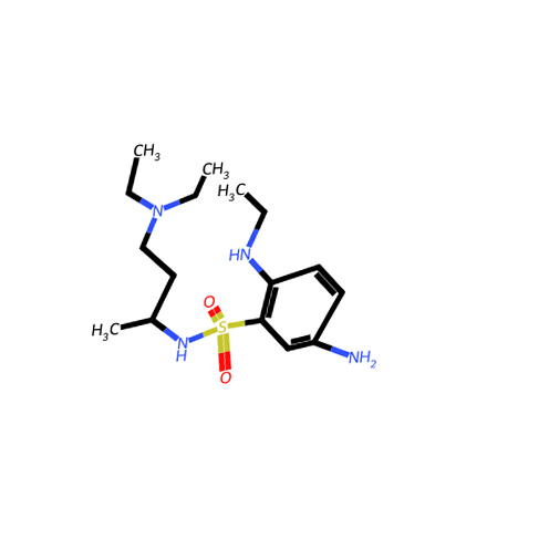 CCNc1ccc(N)cc1S(=O)(=O)NC(C)CCN(CC)CC